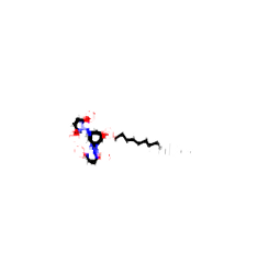 CCCCCCCCCCCCCCCCCCOc1cc(N2C(=O)C=CC2=O)cc(N2C(=O)C=CC2=O)c1